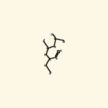 CCC(C=O)CC(C)CC(C)C